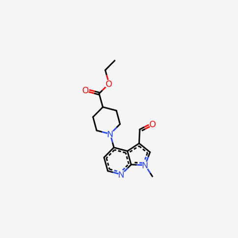 CCOC(=O)C1CCN(c2ccnc3c2c(C=O)cn3C)CC1